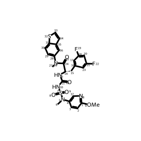 COc1ccc(N(C)S(=O)(=O)NC(=O)N[C@@H](Cc2cc(F)cc(F)c2)C(=O)N(C)c2ccc3sccc3c2)cn1